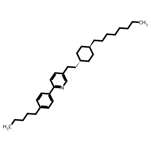 CCCCCCCC[C@H]1CC[C@H](CCc2ccc(-c3ccc(CCCCC)cc3)nc2)CC1